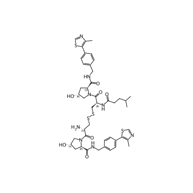 Cc1ncsc1-c1ccc(CNC(=O)[C@H]2C[C@H](O)CN2C(=O)[C@H](N)CSSC[C@H](NC(=O)CCC(C)C)C(=O)N2C[C@H](O)C[C@H]2C(=O)NCc2ccc(-c3scnc3C)cc2)cc1